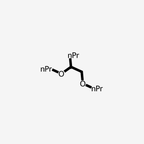 CCCOC[C](CCC)OCCC